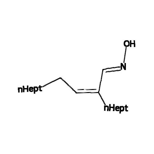 CCCCCCCCC=C(C=NO)CCCCCCC